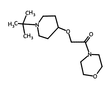 CC(C)(C)N1CCC(OCC(=O)N2CCOCC2)CC1